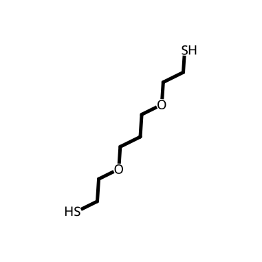 SCCOCCCOCCS